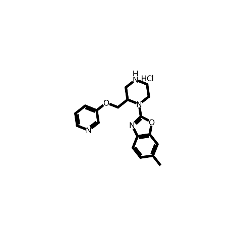 Cc1ccc2nc(N3CCNCC3COc3cccnc3)oc2c1.Cl